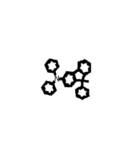 CC1(c2ccccc2)c2ccccc2-c2cc(N(c3ccccc3)c3ccccc3)ccc21